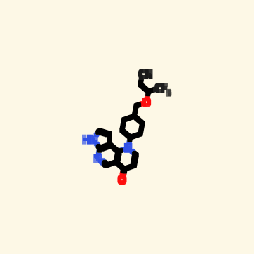 N#CCC(OCC1CCC(n2ccc(=O)c3cnc4[nH]ccc4c32)CC1)C(F)(F)F